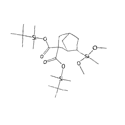 CO[Si](C)(OC)C1CC2CC1C(C(=O)O[Si](C)(C)C(C)(C)C)(C(=O)O[Si](C)(C)C(C)(C)C)C2